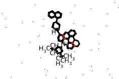 CC(C)(C)c1cc(N(c2ccc(C3=C4C=C(c5cccc6ccccc56)C=C[C@H]43)cc2)c2ccccc2-c2cccc3cccc(C4CCCCC4)c23)cc(C(C)(C)C)c1